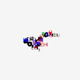 CC(C)[C@H](C(=O)N1C[C@H](O)C[C@H]1C(=O)N[C@@H](C)c1ccc(-c2ccnn2C)cc1)c1cc(OCC2(F)CCN(C(=O)OC(C)(C)C)CC2)no1